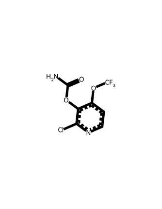 NC(=O)Oc1c(OC(F)(F)F)ccnc1Cl